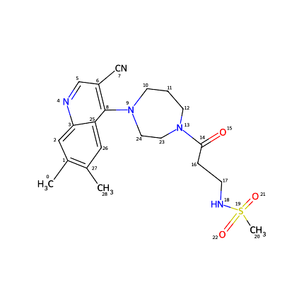 Cc1cc2ncc(C#N)c(N3CCCN(C(=O)CCNS(C)(=O)=O)CC3)c2cc1C